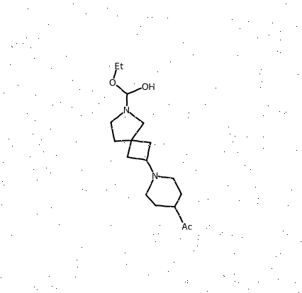 CCOC(O)N1CCC2(CC(N3CCC(C(C)=O)CC3)C2)C1